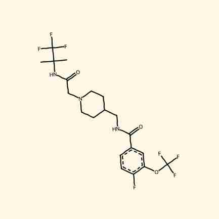 CC(C)(NC(=O)CN1CCC(CNC(=O)c2ccc(F)c(OC(F)(F)F)c2)CC1)C(F)(F)F